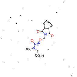 CC(C)(C)N(CC(=O)O)/[N+]([O-])=N/OCN1C(=O)c2ccccc2C1=O